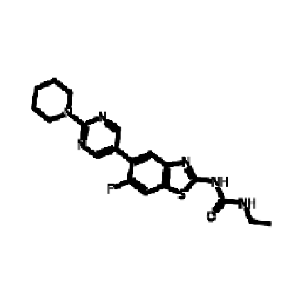 CCNC(=O)Nc1nc2cc(-c3cnc(N4CCCCC4)nc3)c(F)cc2s1